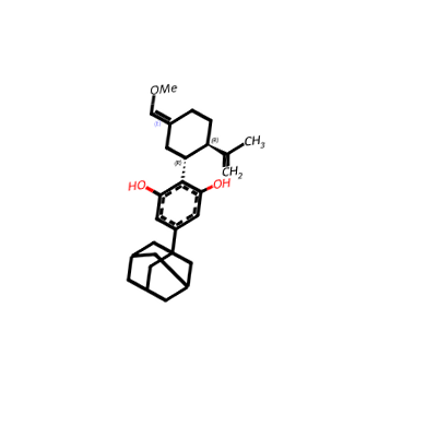 C=C(C)[C@@H]1CC/C(=C\OC)C[C@H]1c1c(O)cc(C23CC4CC(CC(C4)C2)C3)cc1O